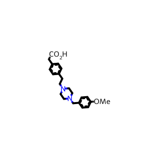 COc1ccc(CN2CCN(CCc3ccc(CC(=O)O)cc3)CC2)cc1